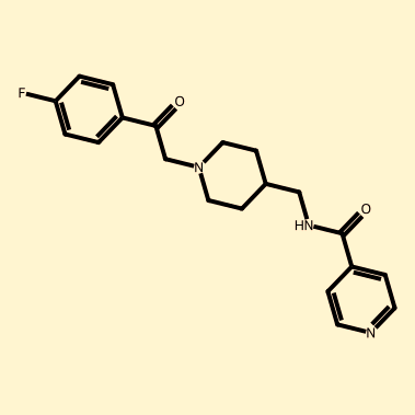 O=C(CN1CCC(CNC(=O)c2ccncc2)CC1)c1ccc(F)cc1